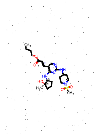 CCCCOC(=O)/C=C/c1cnc(NC2CCN(S(C)(=O)=O)CC2)nc1N[C@@H]1CCC[C@@]1(C)O